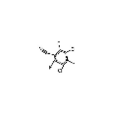 N#Cc1c(F)c(Cl)c(F)c(Cl)c1F